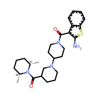 C[C@@H]1CCC[C@H](C)N1C(=O)C1CCCN(C2CCN(C(=O)c3c(N)sc4ccccc34)CC2)C1